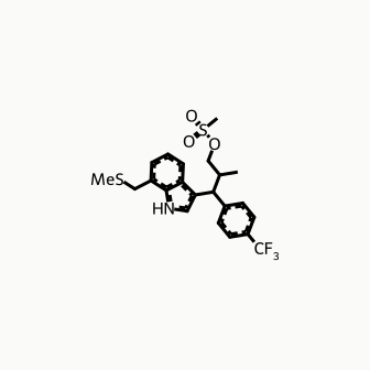 CSCc1cccc2c(C(c3ccc(C(F)(F)F)cc3)C(C)COS(C)(=O)=O)c[nH]c12